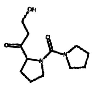 O=C(CCO)C1CCCN1C(=O)N1CCCC1